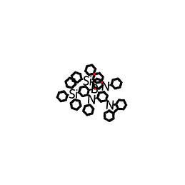 c1ccc(N2c3ccccc3B3c4c2cc(-n2c5ccccc5c5ccccc52)cc4N(c2ccccc2)c2cc([Si](c4ccccc4)(c4ccccc4)c4ccccc4)cc([Si](c4ccccc4)(c4ccccc4)c4ccccc4)c23)cc1